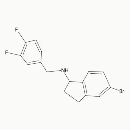 Fc1ccc(CNC2CCc3cc(Br)ccc32)cc1F